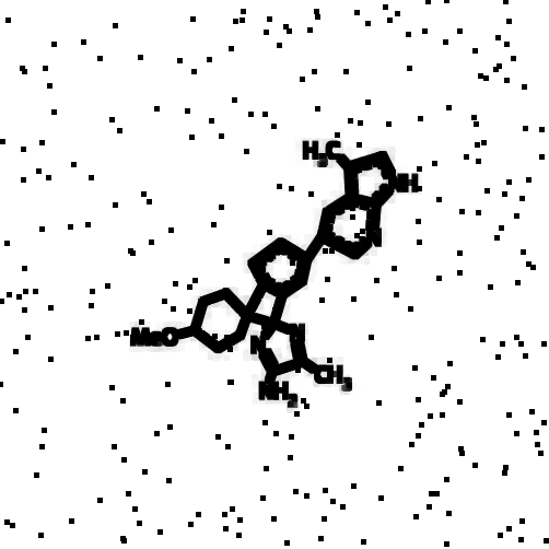 COC1CCC2(CC1)c1ccc(-c3cnc4[nH]cc(C)c4c3)cc1C21N=C(C)C(N)=N1